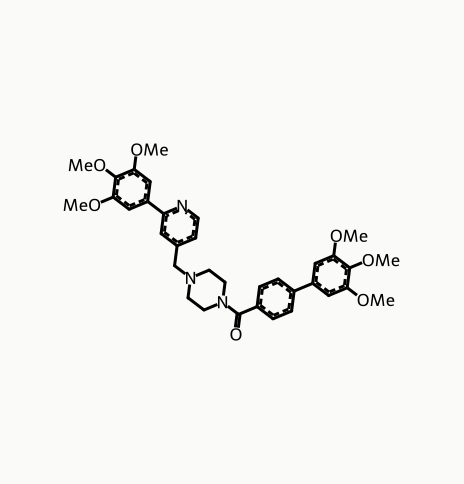 COc1cc(-c2ccc(C(=O)N3CCN(Cc4ccnc(-c5cc(OC)c(OC)c(OC)c5)c4)CC3)cc2)cc(OC)c1OC